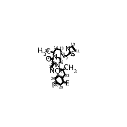 C/C(=C\N1CC2N(Cc3nccs3)CCC(C)N2C(=O)/C1=C/N=O)Cc1ccc(F)cc1F